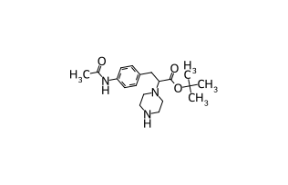 CC(=O)Nc1ccc(CC(C(=O)OC(C)(C)C)N2CCNCC2)cc1